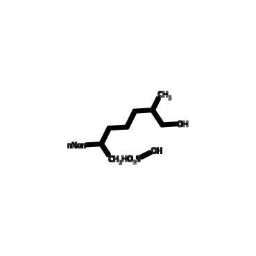 CCCCCCCCCC(C)CCCC(C)CO.O=S(=O)(O)O